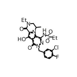 CCN1CC(C)n2c(c(O)c3c(=O)n(Cc4ccc(F)c(Cl)c4)nc(NS(=O)(=O)CC)c32)C1=O